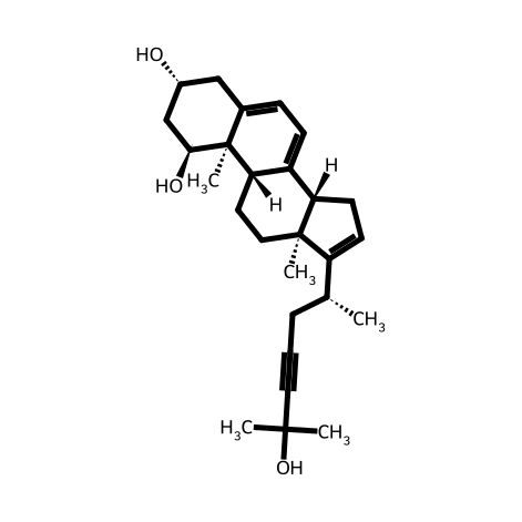 C[C@H](CC#CC(C)(C)O)C1=CC[C@H]2C3=CC=C4C[C@@H](O)C[C@H](O)[C@]4(C)[C@H]3CC[C@]12C